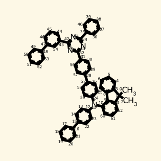 CC1(C)c2ccccc2-c2c(N(c3ccc(-c4ccccc4)cc3)c3ccc(-c4ccc(-c5nc(-c6ccccc6)nc(-c6cccc(-c7ccccc7)c6)n5)cc4)cc3)cccc21